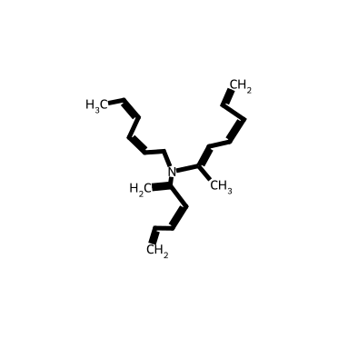 C=C/C=C\C=C(/C)N(C/C=C\C=C/C)C(=C)/C=C\C=C